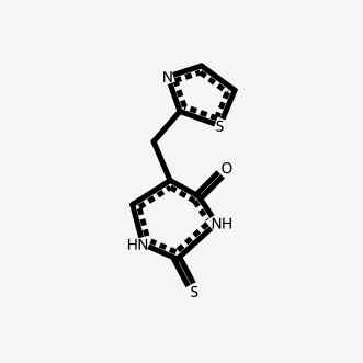 O=c1[nH]c(=S)[nH]cc1Cc1nccs1